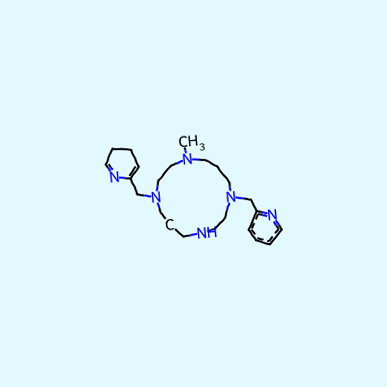 CN1CCCN(Cc2ccccn2)CCNCCCN(CC2=CCCC=N2)CC1